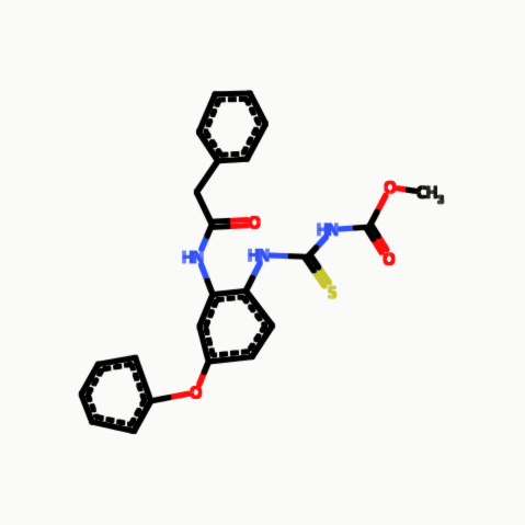 COC(=O)NC(=S)Nc1ccc(Oc2ccccc2)cc1NC(=O)Cc1ccccc1